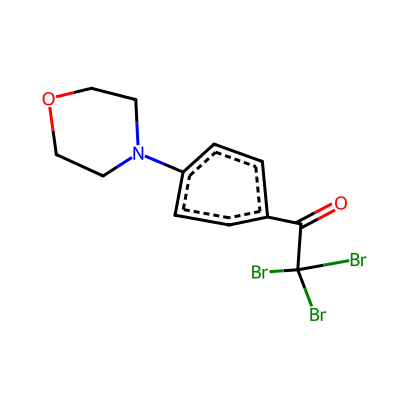 O=C(c1ccc(N2CCOCC2)cc1)C(Br)(Br)Br